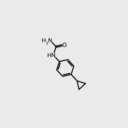 NC(=O)Nc1ccc(C2CC2)cc1